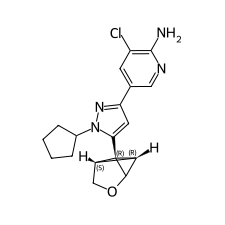 Nc1ncc(-c2cc([C@@]34C5OC[C@H]3[C@@H]54)n(C3CCCC3)n2)cc1Cl